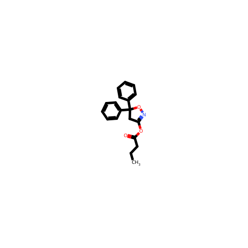 CCCC(=O)OC1=NOC(c2ccccc2)(c2ccccc2)C1